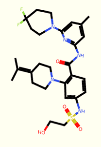 CC(C)=C1CCN(c2cc(NS(=O)(=O)CCO)ccc2C(=O)Nc2cc(C)cc(N3CCC(F)(F)CC3)n2)CC1